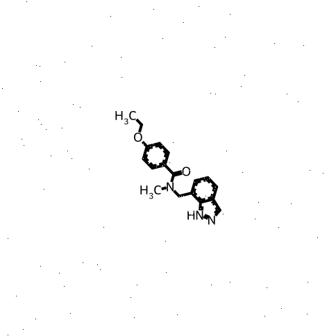 CCOc1ccc(C(=O)N(C)Cc2cccc3cn[nH]c23)cc1